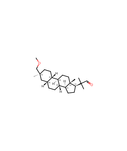 COC[C@@]1(C)CC[C@H]2[C@H](CC[C@@H]3[C@@H]2CC[C@]2(C)[C@@H](C(C)(C)C=O)CC[C@@H]32)C1